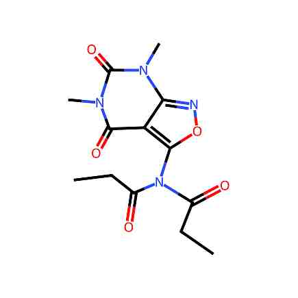 CCC(=O)N(C(=O)CC)c1onc2c1c(=O)n(C)c(=O)n2C